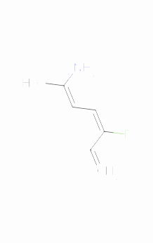 C=C/C(F)=C\C=C(\C)N